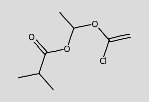 C=C(Cl)OC(C)OC(=O)C(C)C